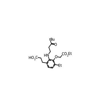 CCOC(=O)COc1c(CC)ccc(CCC(=O)O)c1NCCC(=O)C(C)(C)C